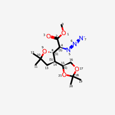 COC(=O)[C@@H](N=[N+]=[N-])[C@H]1OC(C)(C)C[C@@H]1[C@H]1COC(C)(C)O1